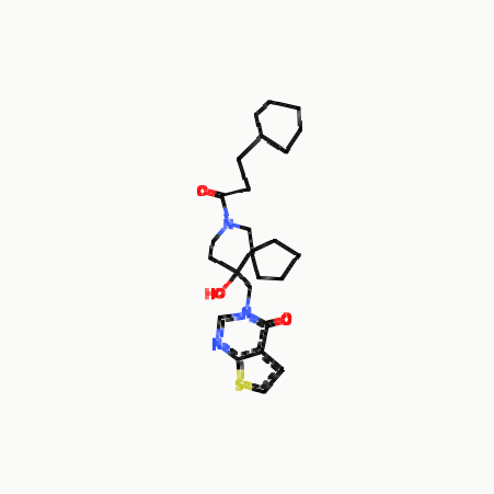 O=C(CCC1CCCCC1)N1CCC(O)(Cn2cnc3sccc3c2=O)C2(CCCC2)C1